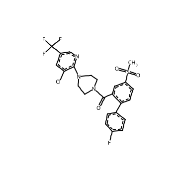 CS(=O)(=O)c1ccc(-c2ccc(F)cc2)c(C(=O)N2CCN(c3ncc(C(F)(F)F)cc3Cl)CC2)c1